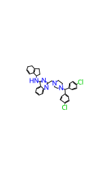 Clc1ccc(C(c2ccc(Cl)cc2)N2CCN(Cc3nc(NC4CCC5=C4C=CCC5)c4ccccc4n3)CC2)cc1